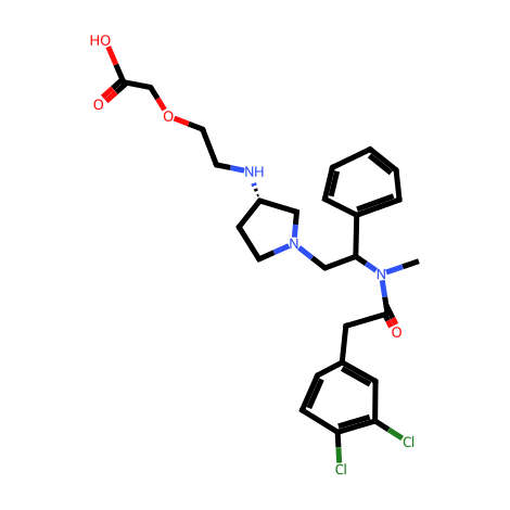 CN(C(=O)Cc1ccc(Cl)c(Cl)c1)C(CN1CC[C@H](NCCOCC(=O)O)C1)c1ccccc1